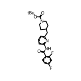 CC(C)(C)OC(=O)N1CCC(Cc2cccc(NC(=O)c3ccc(F)cc3F)n2)CC1